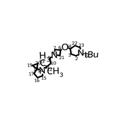 CC(C)(C)N1CCC(OC2CN(CCC(C)(C)N3CCCC34CC4)C2)CC1